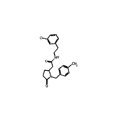 Cc1ccc(CN2C(=O)CCC2CC(=O)NCCc2cccc(Cl)c2)cc1